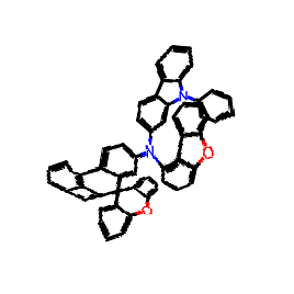 c1ccc(-n2c3ccccc3c3ccc(N(c4ccc5c(c4)C4(c6ccccc6Oc6ccccc64)c4cccc6cccc-5c46)c4cccc5oc6ccccc6c45)cc32)cc1